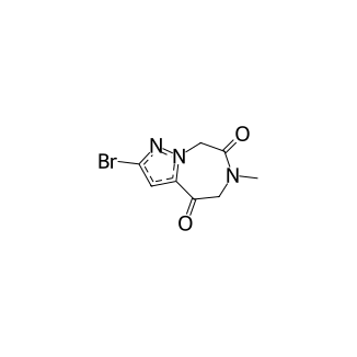 CN1CC(=O)c2cc(Br)nn2CC1=O